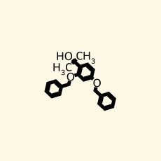 CC(C)(O)c1ccc(OCc2ccccc2)cc1OCc1ccccc1